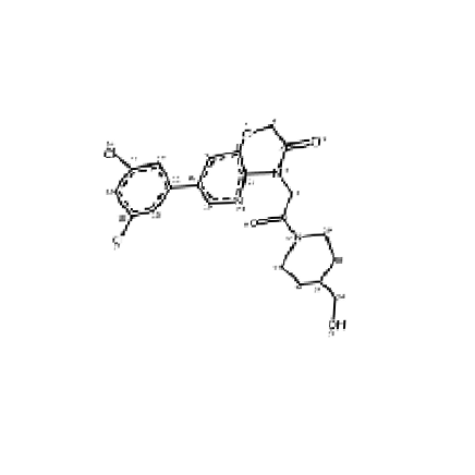 O=C(CN1C(=O)COc2cc(-c3cc(Cl)cc(Cl)c3)cnc21)N1CCC(CO)CC1